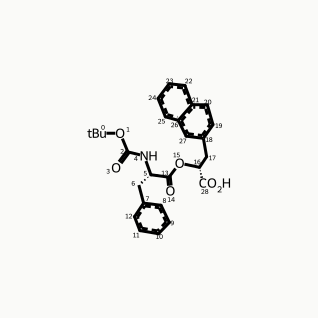 CC(C)(C)OC(=O)N[C@@H](Cc1ccccc1)C(=O)O[C@H](Cc1ccc2ccccc2c1)C(=O)O